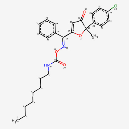 CCCCCCCCNC(=O)ON=C(C1=CC(=O)C(C)(c2ccc(Cl)cc2)O1)c1ccccc1